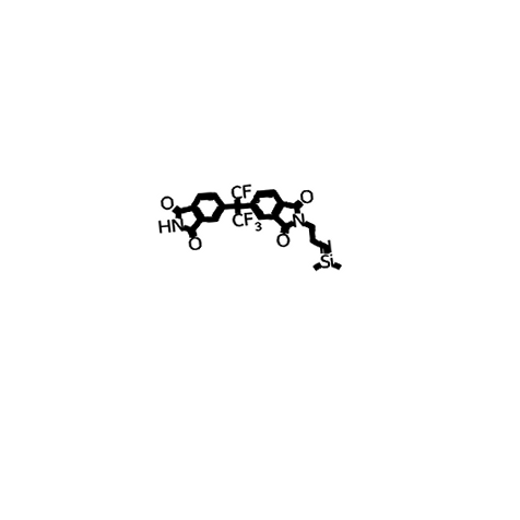 C[SiH](C)CCCN1C(=O)c2ccc(C(c3ccc4c(c3)C(=O)NC4=O)(C(F)(F)F)C(F)(F)F)cc2C1=O